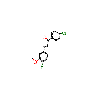 COc1cc(/C=C/C(=O)c2ccc(Cl)cc2)ccc1F